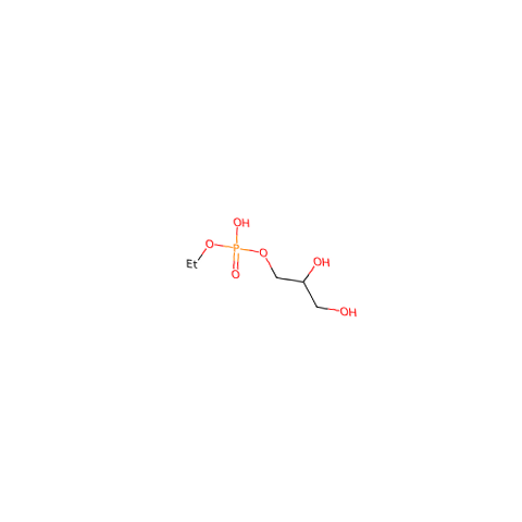 CCOP(=O)(O)OCC(O)CO